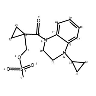 CS(=O)(=O)OCC1(C(=O)N2CCN(C3CC3)c3ccccc32)CC1